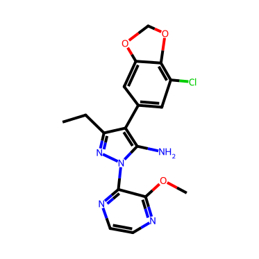 CCc1nn(-c2nccnc2OC)c(N)c1-c1cc(Cl)c2c(c1)OCO2